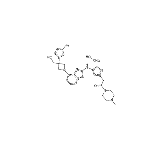 CC(C)c1cnn(C2(CC#N)CN(c3cccn4nc(Nc5cnn(CC(=O)N6CCN(C)CC6)c5)nc34)C2)c1.O=CO